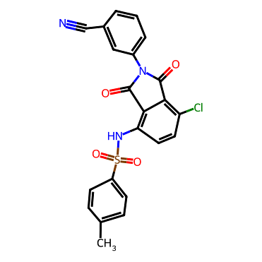 Cc1ccc(S(=O)(=O)Nc2ccc(Cl)c3c2C(=O)N(c2cccc(C#N)c2)C3=O)cc1